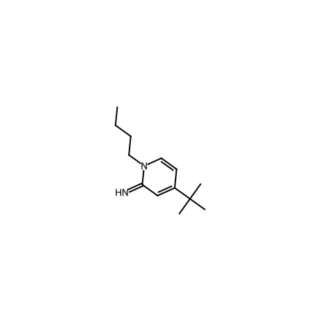 CCCCn1ccc(C(C)(C)C)cc1=N